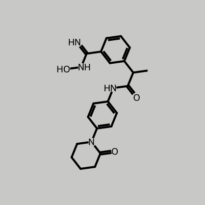 CC(C(=O)Nc1ccc(N2CCCCC2=O)cc1)c1cccc(C(=N)NO)c1